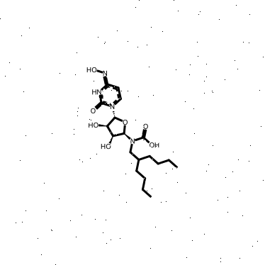 CCCCC(CCCC)CN(C(=O)O)[C@@H]1O[C@@H](n2cc/c(=N/O)[nH]c2=O)[C@H](O)[C@@H]1O